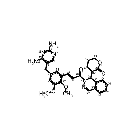 COc1cc(Cc2cnc(N)nc2N)cc(/C=C/C(=O)N2N=Cc3ccccc3C2C2CCCOC2=O)c1OC